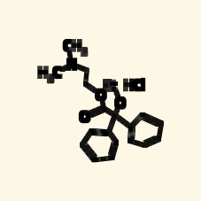 CCOC(C(=O)OCCN(C)C)(c1ccccc1)c1ccccc1.Cl